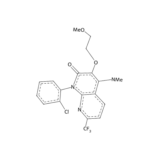 CNc1c(OCCOC)c(=O)n(-c2ccccc2Cl)c2nc(C(F)(F)F)ccc12